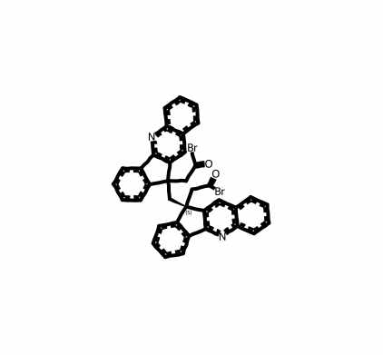 O=C(Br)CC1(C[C@]2(CC(=O)Br)c3ccccc3-c3nc4ccccc4cc32)c2ccccc2-c2nc3ccccc3cc21